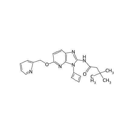 CC(C)(C)CC(=O)Nc1nc2ccc(OCc3ccccn3)nc2n1C1=CC=C1